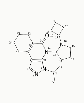 CC(C)n1ncc2c3c(c(=O)n(C4CCCN4C4CCC4)c21)CCCC3